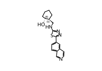 O[C@@H]1CCCC[C@H]1CNc1nnc(-c2ccc3cnccc3c2)s1